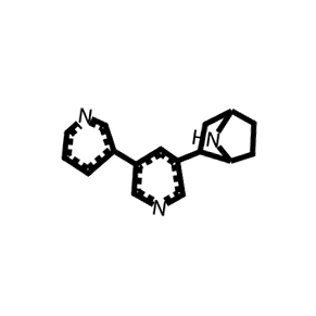 c1cncc(-c2cncc(C3CC4CCC3N4)c2)c1